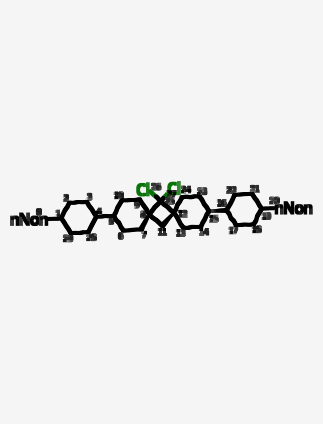 CCCCCCCCCC1CCC(C2CC[C@]3(CC2)C[C@@]2(CC[C@H](C4CCC(CCCCCCCCC)CC4)CC2)C3(Cl)Cl)CC1